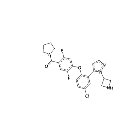 O=C(c1cc(F)c(Oc2ccc(Cl)cc2-c2ccnn2C2CNC2)cc1F)N1CCCC1